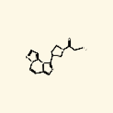 O=C(CC(F)(F)F)N1CCC(c2ncc3ccn4nccc4n23)C1